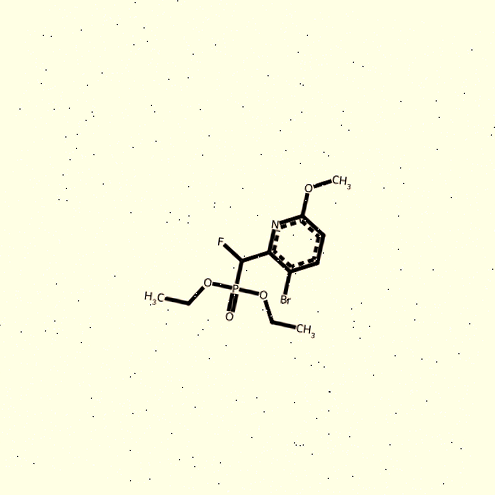 CCOP(=O)(OCC)C(F)c1nc(OC)ccc1Br